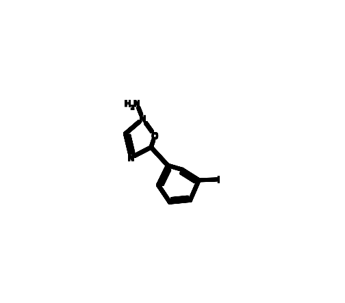 NN1C=NC(c2cccc(I)c2)O1